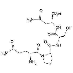 NC(=O)CC[C@H](N)C(=O)N1CCC[C@H]1C(=O)N[C@H](CO)C(=O)N[C@@H](CC(N)=O)C(=O)O